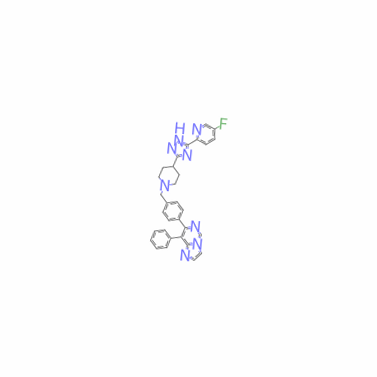 Fc1ccc(-c2nc(C3CCN(Cc4ccc(-c5ncn6ccnc6c5-c5ccccc5)cc4)CC3)n[nH]2)nc1